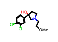 COCCN1CCC(O)(c2ccc(Cl)c(Cl)c2)C1